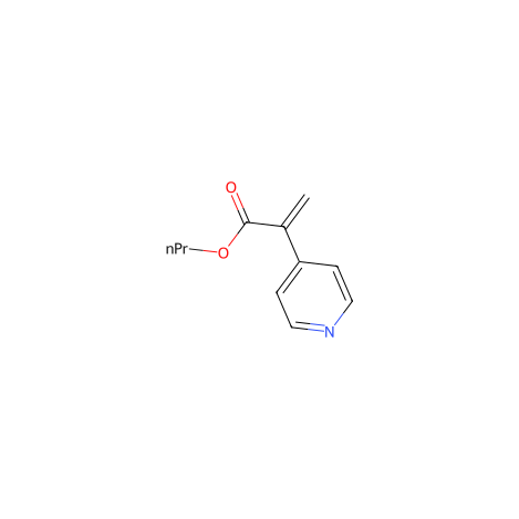 C=C(C(=O)OCCC)c1ccncc1